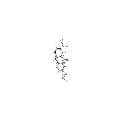 C/C=C/c1ccc2sc3ccc(C(C)C)cc3c(=O)c2c1